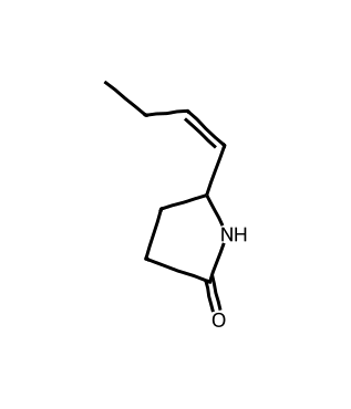 CC/C=C\C1CCC(=O)N1